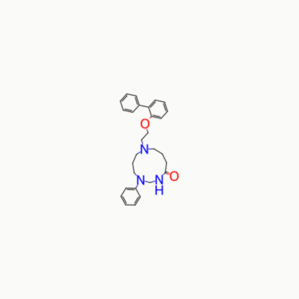 O=C1CCCN(CCOc2ccccc2-c2ccccc2)CCCN(c2ccccc2)CN1